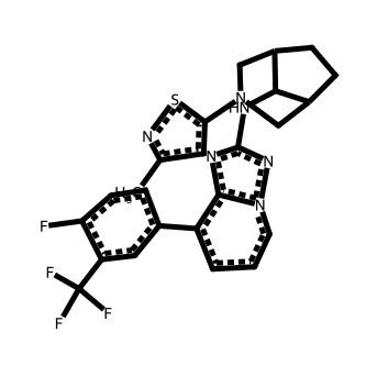 Cc1cc(N2CC3CCC(C2)C3Nc2nc3c(-c4ccc(F)c(C(F)(F)F)c4)cccn3n2)sn1